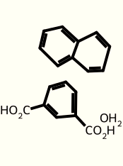 O.O=C(O)c1cccc(C(=O)O)c1.c1ccc2ccccc2c1